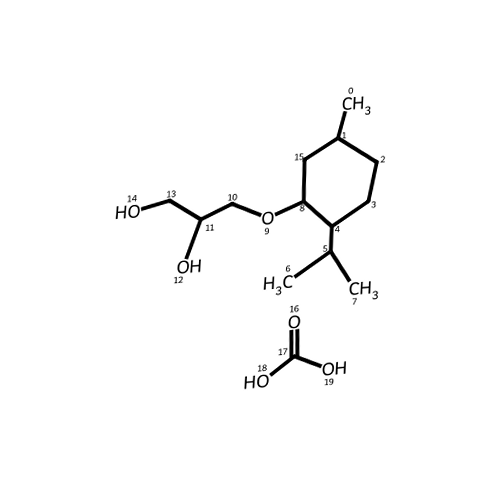 CC1CCC(C(C)C)C(OCC(O)CO)C1.O=C(O)O